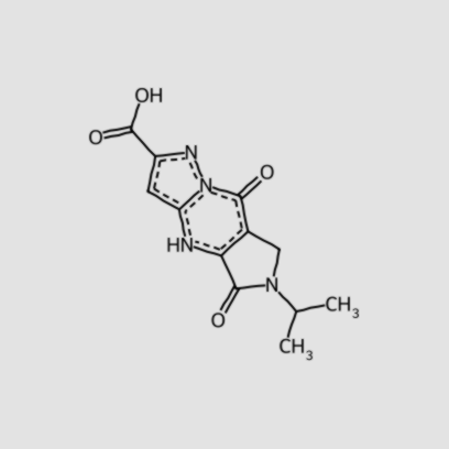 CC(C)N1Cc2c([nH]c3cc(C(=O)O)nn3c2=O)C1=O